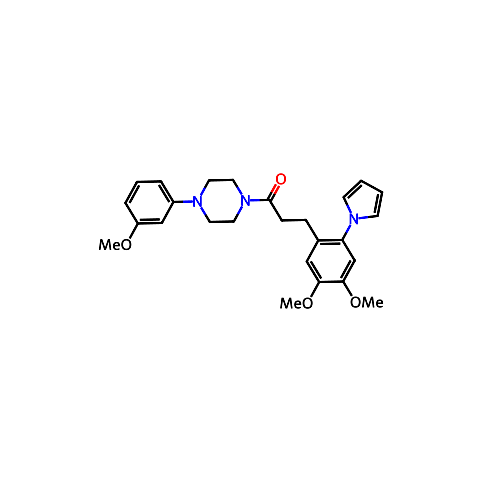 COc1cccc(N2CCN(C(=O)CCc3cc(OC)c(OC)cc3-n3cccc3)CC2)c1